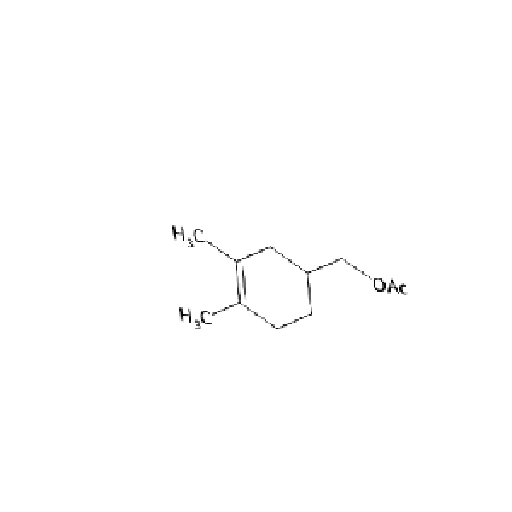 CC(=O)OCC1CCC(C)=C(C)C1